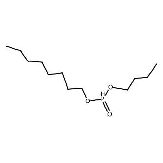 CCCCCCCCO[PH](=O)OCCCC